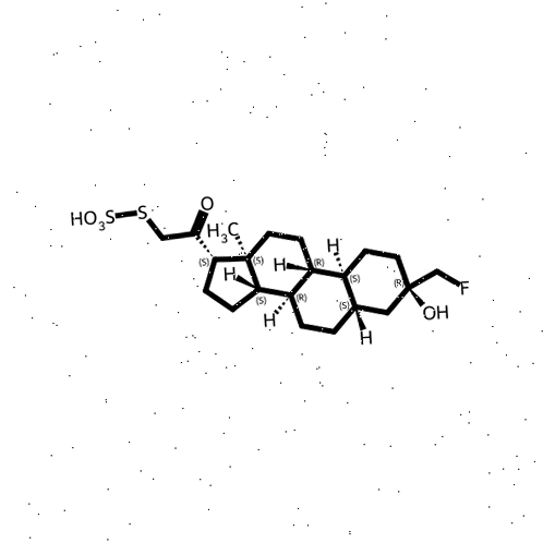 C[C@]12CC[C@H]3[C@@H](CC[C@H]4C[C@@](O)(CF)CC[C@@H]43)[C@@H]1CC[C@@H]2C(=O)CSS(=O)(=O)O